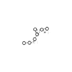 C[Si]1(C)c2ccccc2-c2ccc(-n3c4ccccc4c4cc(-c5ccc(Nc6ccc(-c7ccccc7)cc6)cc5)ccc43)cc21